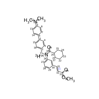 [2H][C@H](c1ccc(-c2ccc(N(C)C)cc2)cc1)N(C(=O)C1CCCCC1)c1cccc(/C=C/C(=O)OC)c1